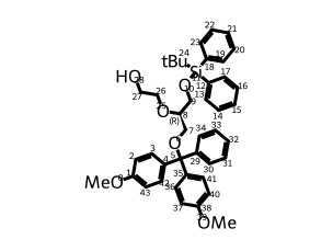 COc1ccc(C(OC[C@H](CO[Si](c2ccccc2)(c2ccccc2)C(C)(C)C)OCCO)(c2ccccc2)c2ccc(OC)cc2)cc1